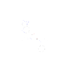 CN1C(=O)[C@@H](NC(=O)c2cc3[nH]ncc3nc2C2CC2)COc2ccccc21